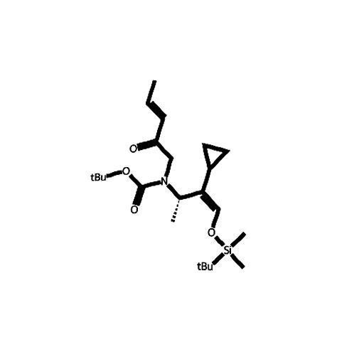 CC=CC(=O)CN(C(=O)OC(C)(C)C)[C@@H](C)C(=CO[Si](C)(C)C(C)(C)C)C1CC1